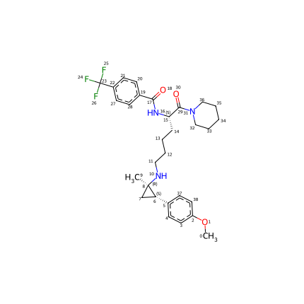 COc1ccc([C@@H]2C[C@@]2(C)NCCCC[C@H](NC(=O)c2ccc(C(F)(F)F)cc2)C(=O)N2CCCCC2)cc1